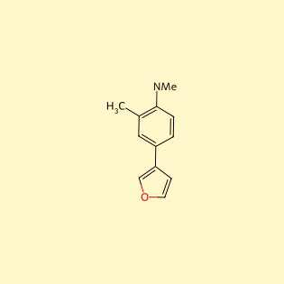 CNc1ccc(-c2ccoc2)cc1C